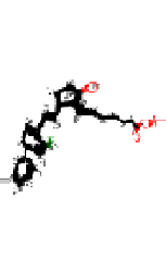 O=C(O)CCCCCCC1C(=O)CCC1C=Cc1ccc(-c2ccccc2)cc1F